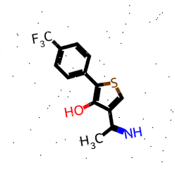 CC(=N)c1csc(-c2ccc(C(F)(F)F)cc2)c1O